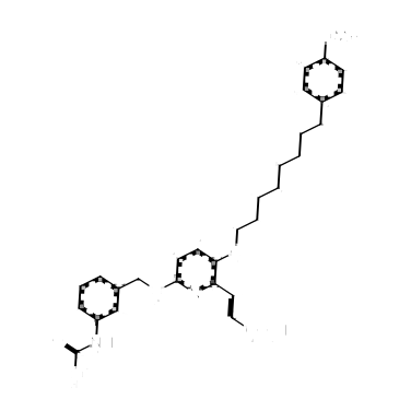 COc1ccc(CCCCCCCCOc2ccc(OCc3cccc(NC(=O)C(=O)O)c3)nc2C=CC(=O)O)cc1